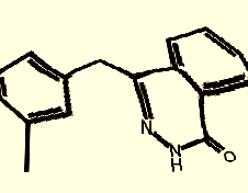 Cc1cccc(Cc2n[nH]c(=O)c3ccccc23)c1